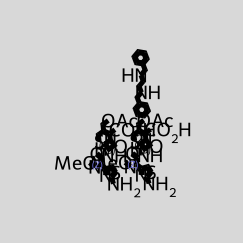 CO/N=C(\C(=O)N[C@H]1C(=O)N2C(C(=O)O)=C(COC(C)=O)CS[C@@H]12)c1csc(N)n1.CO/N=C(\C(=O)N[C@H]1C(=O)N2C(C(=O)O)=C(COC(C)=O)CS[C@@H]12)c1csc(N)n1.c1ccc(CNCCNCc2ccccc2)cc1